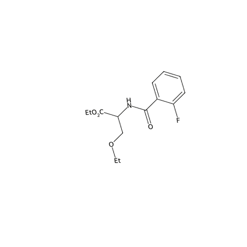 CCOCC(NC(=O)c1ccccc1F)C(=O)OCC